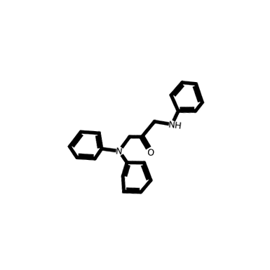 O=C(CNc1ccccc1)CN(c1ccccc1)c1ccccc1